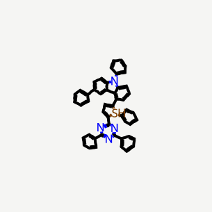 C1=C(c2nc(-c3ccccc3)nc(-c3ccccc3)n2)[SH](c2ccccc2)C(c2cccc3c2c2cc(-c4ccccc4)ccc2n3-c2ccccc2)=C1